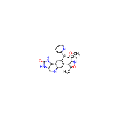 COC[C@H](c1ccccn1)c1cc2c(cc1-c1c(C)noc1C)ncc1[nH]c(=O)[nH]c12